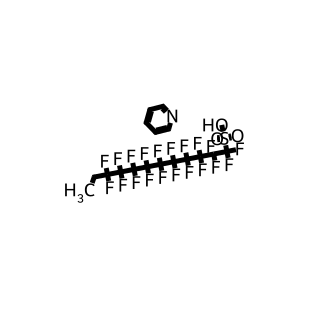 CCC(F)(F)C(F)(F)C(F)(F)C(F)(F)C(F)(F)C(F)(F)C(F)(F)C(F)(F)C(F)(F)C(F)(F)S(=O)(=O)O.c1ccncc1